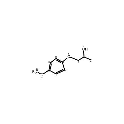 CC(O)COc1ccc(OC(F)(F)F)cc1